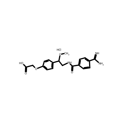 COC(CNC(=O)c1ccc(C(=N)N)cc1)c1ccc(OCC(=O)O)cc1.Cl